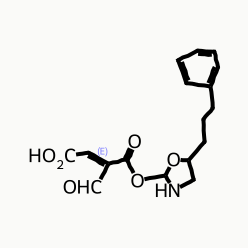 O=C/C(=C\C(=O)O)C(=O)OC1NCC(CCCc2ccccc2)O1